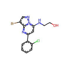 OCCNc1cc(-c2ccccc2Cl)nc2c(Br)cnn12